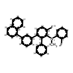 CN(c1ccccc1F)c1c(F)ccc(-c2cccc(-c3cccc4ccccc34)c2)c1-c1ccccc1